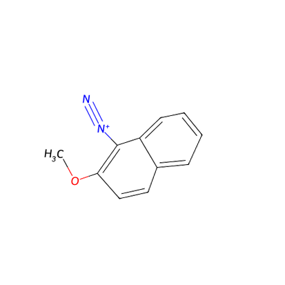 COc1ccc2ccccc2c1[N+]#N